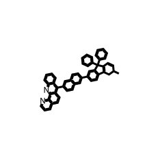 CC1C=CC2=C(C1)c1ccc(-c3ccc4cc(-c5c6ccccc6nc6c5ccc5cccnc56)ccc4c3)cc1C2(c1ccccc1)c1ccccc1